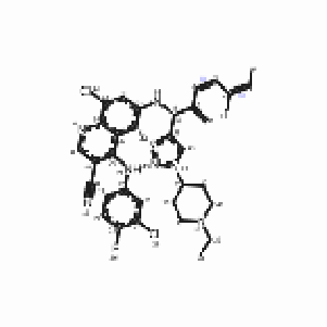 C=C(/C=C\C(F)=C/C)[C@H](Nc1cc(Cl)c2ncc(C#N)c(Nc3ccc(F)c(Cl)c3)c2c1)c1cn(C2CCN(CC)CC2)nn1